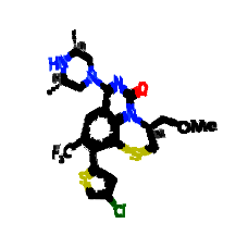 COC[C@H]1CSc2c(-c3cc(Cl)cs3)c(C(F)(F)F)cc3c(N4C[C@@H](C)N[C@@H](C)C4)nc(=O)n1c23